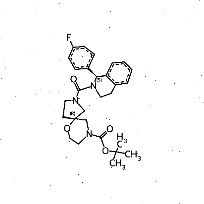 CC(C)(C)OC(=O)N1CCO[C@@]2(CCN(C(=O)N3CCc4ccccc4[C@@H]3c3ccc(F)cc3)C2)C1